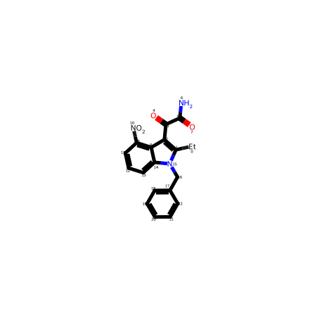 CCc1c(C(=O)C(N)=O)c2c([N+](=O)[O-])cccc2n1Cc1ccccc1